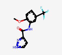 COc1ccc(C(F)(F)F)cc1NC(=O)c1cc[nH]n1